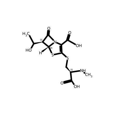 CN[C@H](CSC1=C(C(=O)O)N2C(=O)[C@H](C(C)O)[C@H]2S1)C(=O)O